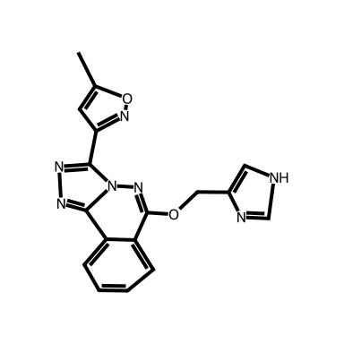 Cc1cc(-c2nnc3c4ccccc4c(OCc4c[nH]cn4)nn23)no1